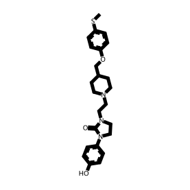 CSc1ccc(OCC2CCN(CCN3CCN(c4ccc(O)cc4)C3=O)CC2)cc1